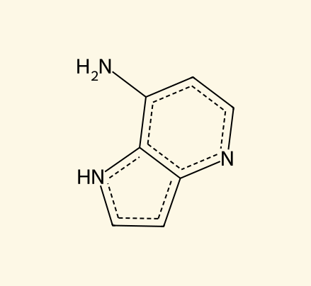 Nc1ccnc2cc[nH]c12